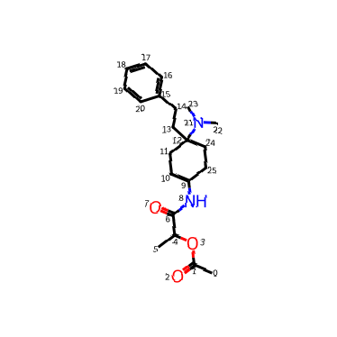 CC(=O)OC(C)C(=O)NC1CCC(CCc2ccccc2)(N(C)C)CC1